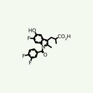 Cc1c(CC(C)C(=O)O)c2cc(O)c(F)cc2n1C(=O)c1ccc(F)c(F)c1